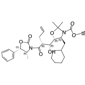 C=CC[C@@H](C(=O)N1C(=O)O[C@@H](c2ccccc2)[C@H]1C)[C@@H](O)[C@@H]1OC(C)(C)N(C(=O)OC(C)(C)C)[C@H]1CC1CCCCC1